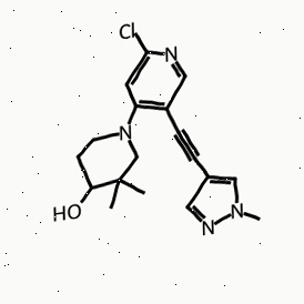 Cn1cc(C#Cc2cnc(Cl)cc2N2CCC(O)C(C)(C)C2)cn1